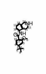 COc1cc(C(C)(C)C)ccc1C(=O)Nc1cccc2c1CCNC2